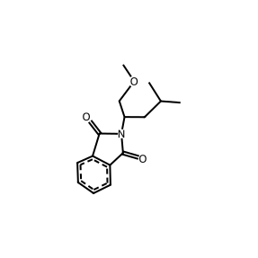 COCC(CC(C)C)N1C(=O)c2ccccc2C1=O